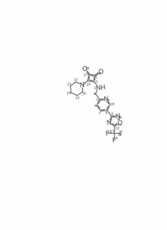 O=c1c(NCc2ccc(-c3noc(C(F)(F)F)n3)cn2)c(N2CCCCC2)c1=O